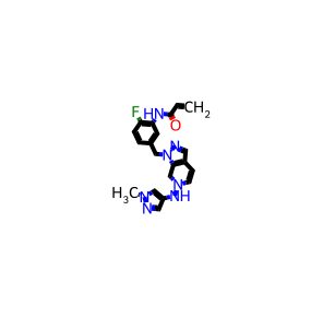 C=CC(=O)Nc1cc(Cn2ncc3c2CN(Nc2cnn(C)c2)C=C3)ccc1F